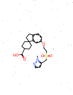 Cn1nccc1CS(=O)(=O)CCOc1ccc2c(c1)C1(CC2)CCC(C(=O)O)CC1